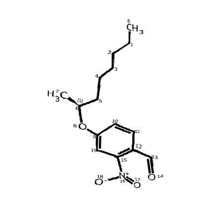 CCCCCC[C@H](C)Oc1ccc(C=O)c([N+](=O)[O-])c1